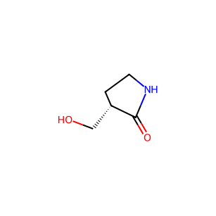 O=C1NCC[C@H]1CO